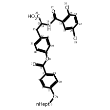 CCCCCCCOc1ccc(C(=O)Oc2ccc(C[C@H](NC(=O)c3cc(Cl)ccc3Cl)C(=O)O)cc2)cc1